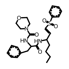 CCCCC(C=CS(=O)(=O)c1ccccc1)NC(=O)C(Cc1ccccc1)NC(=O)N1CCOCC1